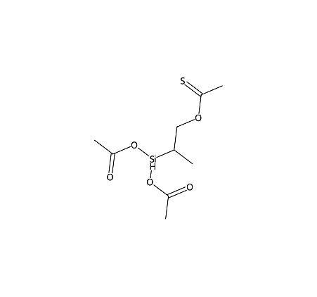 CC(=O)O[SiH](OC(C)=O)C(C)COC(C)=S